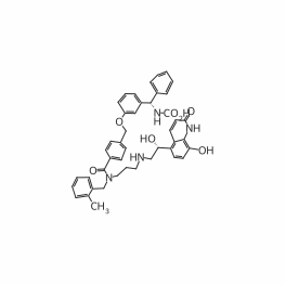 Cc1ccccc1CN(CCCNC[C@H](O)c1ccc(O)c2[nH]c(=O)ccc12)C(=O)c1ccc(COc2cccc([C@@H](NC(=O)O)c3ccccc3)c2)cc1